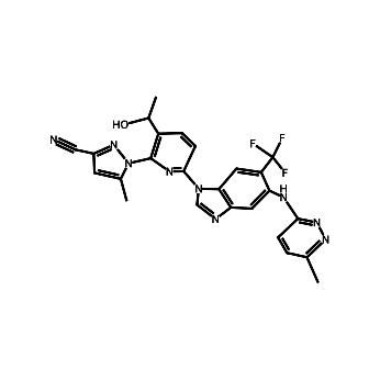 Cc1ccc(Nc2cc3ncn(-c4ccc(C(C)O)c(-n5nc(C#N)cc5C)n4)c3cc2C(F)(F)F)nn1